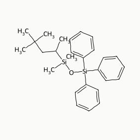 CC(CC(C)(C)C)[Si](C)(C)O[Si](c1ccccc1)(c1ccccc1)c1ccccc1